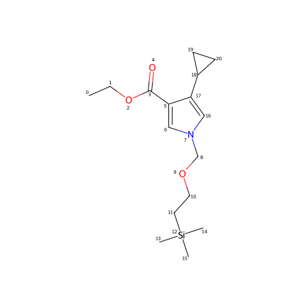 CCOC(=O)c1cn(COCC[Si](C)(C)C)cc1C1CC1